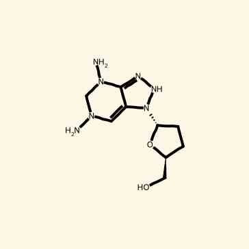 NN1C=C2C(=NNN2[C@@H]2CC[C@@H](CO)O2)N(N)C1